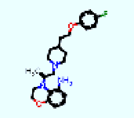 C=C(CN1CCC(CCOc2ccc(F)cc2)CC1)N1CCOc2cccc(N)c21